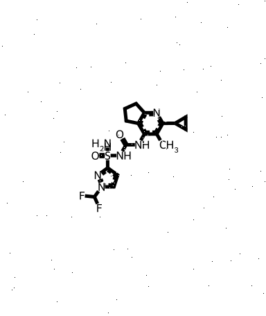 Cc1c(C2CC2)nc2c(c1NC(=O)N[SH](N)(=O)c1ccn(C(F)F)n1)CCC2